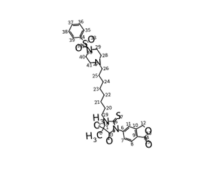 CC1(C)C(=O)N(c2ccc3c(c2)COC3=O)C(=S)N1CCCCCCCCN1CCN(S(=O)(=O)c2ccccc2)CC1